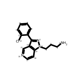 NCCCn1nc(-c2ccccc2Cl)c2cnccc21